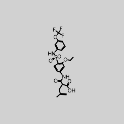 C=C(C)CC(C(=O)O)C(=O)Nc1ccc(S(=O)(=O)Nc2cccc(OC(F)(F)F)c2)c(OCC)c1